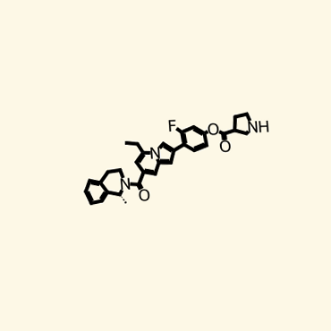 CCc1cc(C(=O)N2CCc3ccccc3[C@H]2C)cc2cc(-c3ccc(OC(=O)C4CCNC4)cc3F)cn12